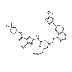 CNCCC[C@H](CCc1nccc2ccc(-c3noc(C)n3)cc12)CC(=O)Nc1nc(C)c(C(=O)OC2CCC(F)(F)C2)s1